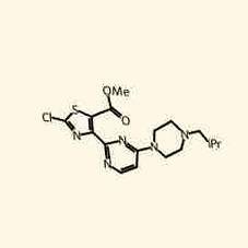 COC(=O)c1sc(Cl)nc1-c1nccc(N2CCN(CC(C)C)CC2)n1